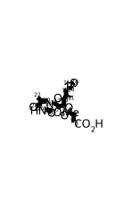 CO[C@@H]1[C@H](OC(=O)CCC(=O)O)[C@@H]([C@H](C)CP(C)(C)=O)O[C@H]1n1cc(C)c(=O)[nH]c1=O